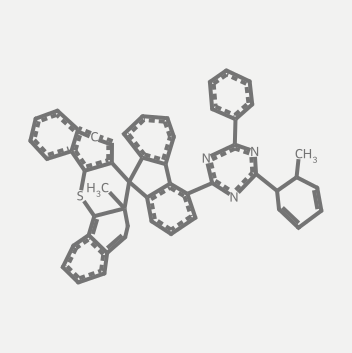 CC1C=CC=CC1c1nc(-c2ccccc2)nc(-c2cccc3c2-c2ccccc2C32c3ccc4ccccc4c3SC3=c4ccccc4=CCC32C)n1